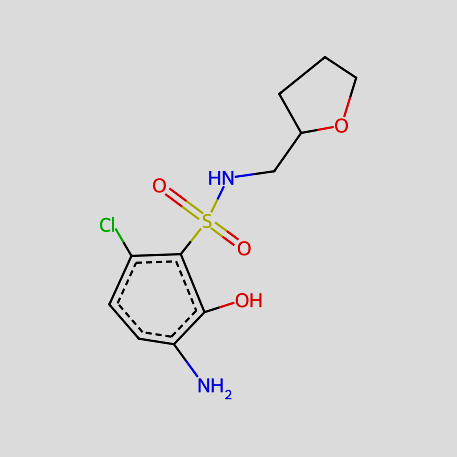 Nc1ccc(Cl)c(S(=O)(=O)NCC2CCCO2)c1O